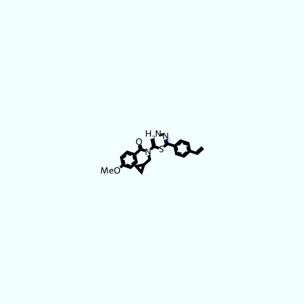 C=Cc1ccc(/C(=N/N)SC(=C)N(CC2CC2)C(=O)c2ccc(OC)cc2)cc1